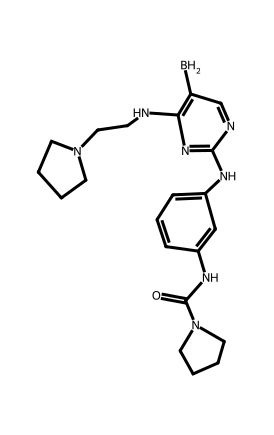 Bc1cnc(Nc2cccc(NC(=O)N3CCCC3)c2)nc1NCCN1CCCC1